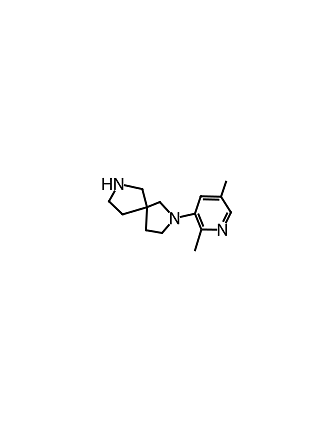 Cc1cnc(C)c(N2CCC3(CCNC3)C2)c1